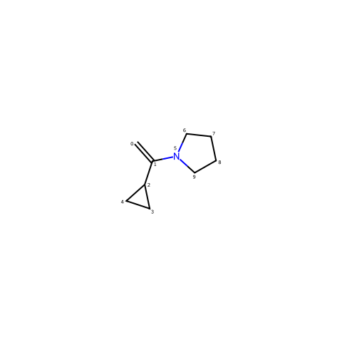 C=C(C1CC1)N1CCCC1